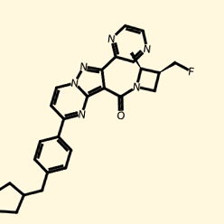 C[C@H]1[C@@H](CF)CN1C(=O)c1c(-c2cnccn2)nn2ccc(-c3ccc(CC4CCCC4)cc3)nc12